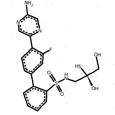 Nc1cnc(-c2ccc(-c3ccccc3S(=O)(=O)NC[C@](O)(S)CO)cc2F)cn1